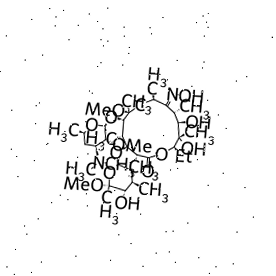 CC[C@H]1OC(=O)[C@H](C)[C@@H](O[C@@H]2C[C@@H](C)[C@H](O)[C@](C)(OC)O2)[C@H](C)[C@@H](O[C@@H]2O[C@H](C)C[C@H](N(C)C)[C@H]2OC)[C@@](C)(OC)C[C@@H](C)/C(=N/O)[C@H](C)[C@@H](O)[C@]1(C)O